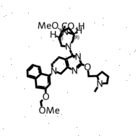 COCOc1cc(N2CCc3c(nc(OCC4CCCN4C)nc3N3C[C@H]4C[C@@H](OC)[C@@H](C3)N4C(=O)O)C2)c2ccccc2c1